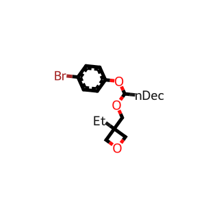 CCCCCCCCCCC(OCC1(CC)COC1)Oc1ccc(Br)cc1